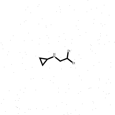 CCC(CC)CNC1CC1